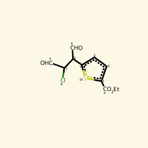 CCOC(=O)c1ccc(C(C=O)C(Cl)C=O)s1